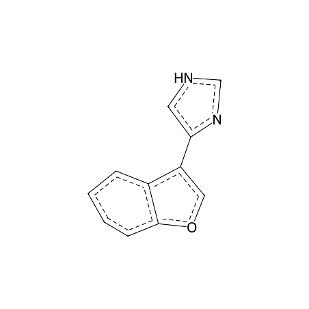 c1ccc2c(-c3c[nH]cn3)coc2c1